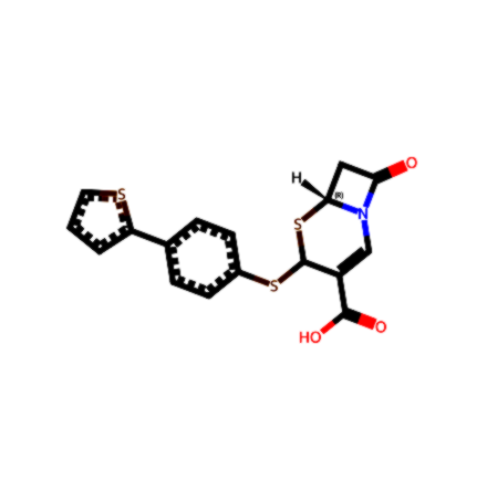 O=C(O)C1=CN2C(=O)C[C@H]2SC1Sc1ccc(-c2cccs2)cc1